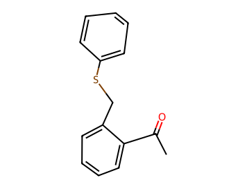 CC(=O)c1ccccc1CSc1ccccc1